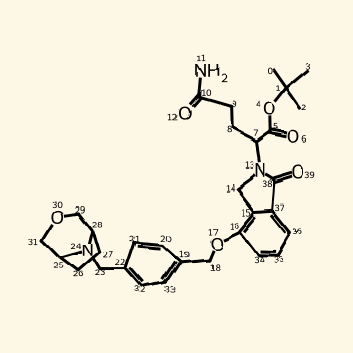 CC(C)(C)OC(=O)C(CCC(N)=O)N1Cc2c(OCc3ccc(CN4C5CCC4COC5)cc3)cccc2C1=O